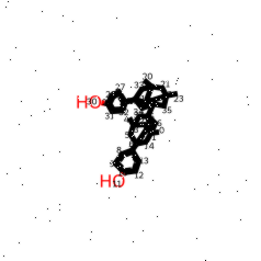 CC12CC3(C)CC(c4ccc(O)cc4)(C1)CC(C14CC5(C)CC(C)(CC(c6ccc(O)cc6)(C5)C1)C4)(C2)C3